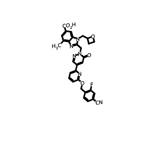 Cc1cc(C(=O)O)cc2c1nc(Cn1ncc(-c3cccc(OCc4ccc(C#N)cc4F)n3)cc1=O)n2CC1CCO1